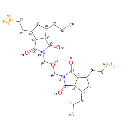 O=C1C2C(CCP)CC(CCI)C2C(=O)N1COCN1C(=O)C2C(CCP)CC(CCI)C2C1=O